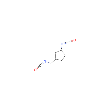 O=C=NCC1CCC(N=C=O)C1